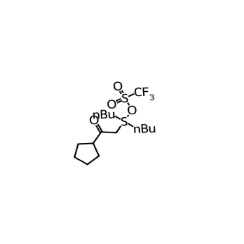 CCCCS(CCCC)(CC(=O)C1CCCC1)OS(=O)(=O)C(F)(F)F